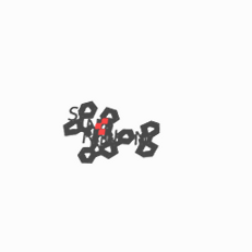 c1ccc(-c2nc(-c3cccc4sc5ccccc5c34)nc(-n3c4ccccc4c4ccc5c6cc(-n7c8ccccc8c8ccccc87)ccc6n(-c6ccccc6)c5c43)n2)cc1